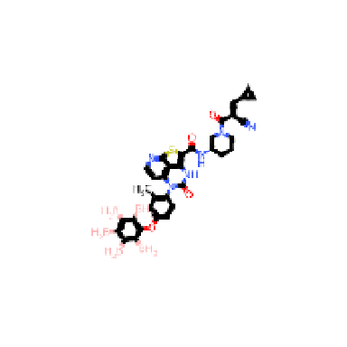 Bc1c(B)c(B)c(Oc2ccc(N3C(=O)Nc4c(C(=O)N[C@@H]5CCCN(C(=O)/C(C#N)=C/C6CC6)C5)sc5nccc3c45)c(C)c2)c(B)c1B